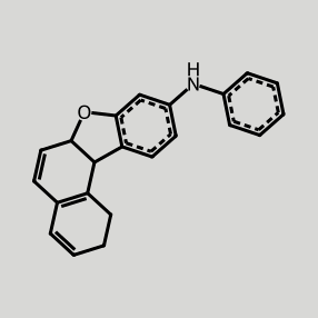 C1=CC2=C(CC1)C1c3ccc(Nc4ccccc4)cc3OC1C=C2